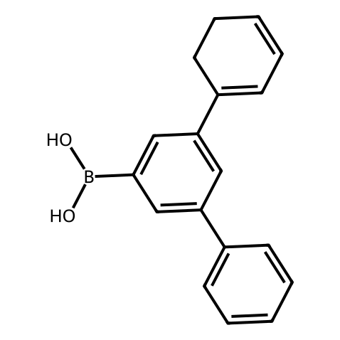 OB(O)c1cc(C2=CC=CCC2)cc(-c2ccccc2)c1